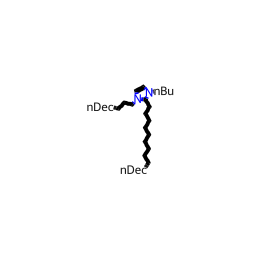 CCCCCCCCCCCCCCCCCCCC1N(CCCC)C=CN1CCCCCCCCCCCCC